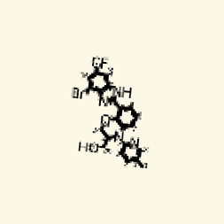 Cc1ccc(N2c3cccc(-c4nc5c(Br)cc(C(F)(F)F)cc5[nH]4)c3OCC2CO)nc1